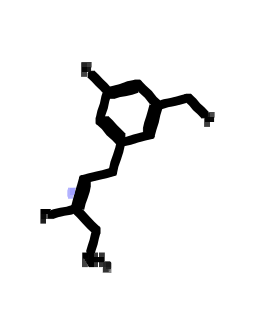 NC/C(F)=C\Cc1cc(F)cc(CF)c1